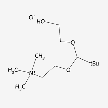 CC(C)(C)C(OCCO)OCC[N+](C)(C)C.[Cl-]